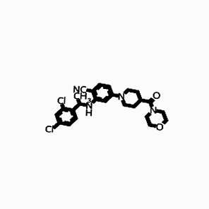 CC(Nc1cc(N2CCC(C(=O)N3CCOCC3)CC2)ccc1C#N)c1ccc(Cl)cc1Cl